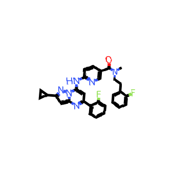 CN(CCc1ccccc1F)C(=O)c1ccc(Nc2cc(-c3ccccc3F)nc3cc(C4CC4)nn23)nc1